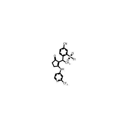 CCS(=O)(=O)c1cc(C#N)ccc1C(C)C1=C(Nc2ccnc(C(F)(F)F)c2)CCC1=O